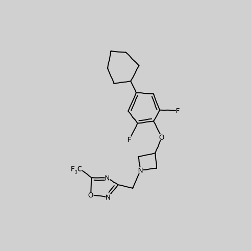 Fc1cc(C2CCCCC2)cc(F)c1OC1CN(Cc2noc(C(F)(F)F)n2)C1